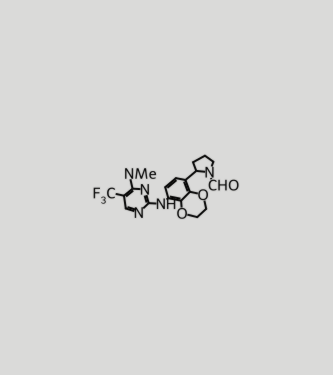 CNc1nc(Nc2ccc(C3CCCN3C=O)c3c2OCCO3)ncc1C(F)(F)F